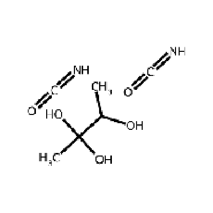 CC(O)C(C)(O)O.N=C=O.N=C=O